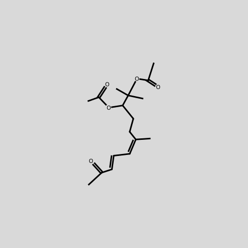 CC(=O)C=CC=C(C)CCC(OC(C)=O)C(C)(C)OC(C)=O